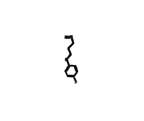 CNCCCOc1ccc(F)cc1